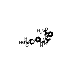 NC(=O)c1cn(-c2nc(Nc3cccc(N4CCN(C(=O)NO)CC4)c3)ncc2F)c2ccccc12